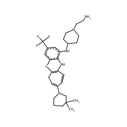 CC1(C)CCCN(C2=CCC3=C(C=C2)Nc2c(NC4CCN(CCN)CC4)cc(C(F)(F)F)cc2S3)C1